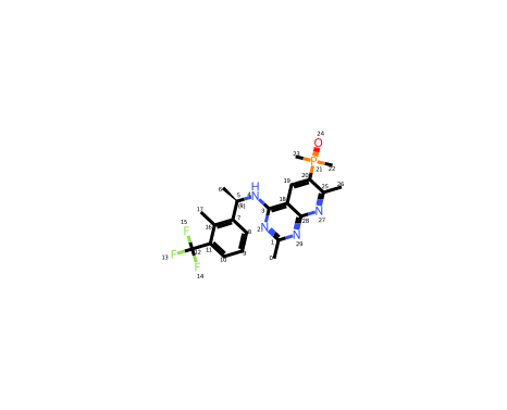 Cc1nc(N[C@H](C)c2cccc(C(F)(F)F)c2C)c2cc(P(C)(C)=O)c(C)nc2n1